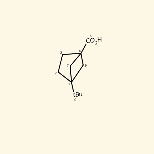 CC(C)(C)C12CCC(C(=O)O)(C1)C2